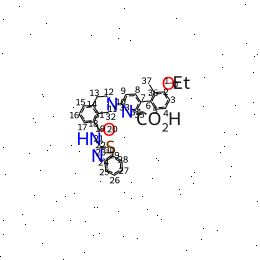 CCOc1cccc(-c2ccc(N3CCc4cccc(C(=O)Nc5nc6ccccc6s5)c4C3)nc2C(=O)O)c1C